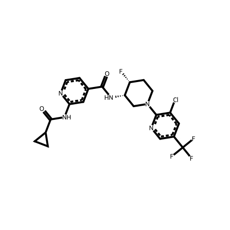 O=C(N[C@H]1CN(c2ncc(C(F)(F)F)cc2Cl)CC[C@H]1F)c1ccnc(NC(=O)C2CC2)c1